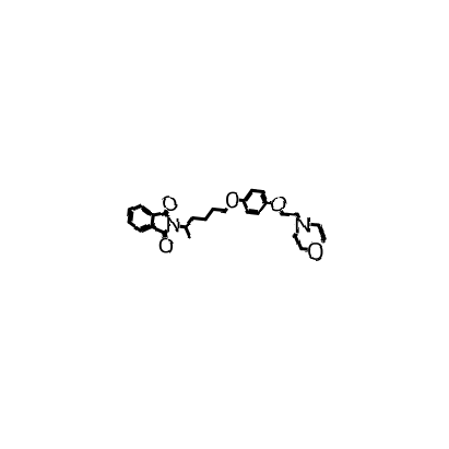 CC(CCCCOc1ccc(OCCN2CCOCC2)cc1)N1C(=O)c2ccccc2C1=O